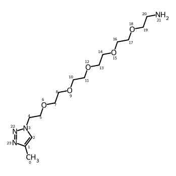 Cc1cn(CCOCCOCCOCCOCCOCCN)nn1